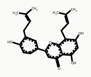 CC(C)=CCc1cc(-c2cc(=O)c3c(O)cc(O)c(CC=C(C)C)c3o2)ccc1O